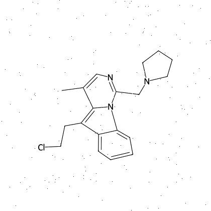 Cc1cnc(CN2CCCC2)n2c1c(CCCl)c1ccccc12